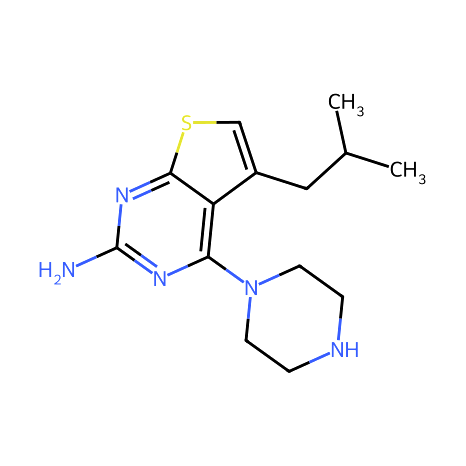 CC(C)Cc1csc2nc(N)nc(N3CCNCC3)c12